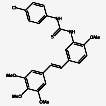 COc1ccc(C=Cc2cc(OC)c(OC)c(OC)c2)cc1NC(=S)Nc1ccc(Cl)cc1